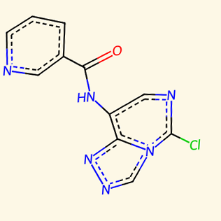 O=C(Nc1cnc(Cl)n2cnnc12)c1cccnc1